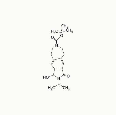 CC(C)N1C(=O)c2cc3c(cc2C1O)CCN(C(=O)OC(C)(C)C)CC3